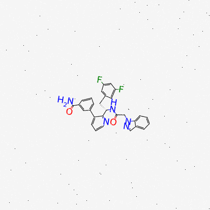 NC(=O)c1cccc(-c2cccnc2[C@H](Cc2cc(F)cc(F)c2)NC(=O)Cn2ncc3ccccc32)c1